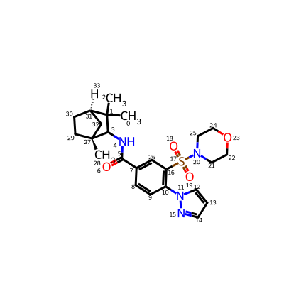 CC1(C)C(NC(=O)c2ccc(-n3cccn3)c(S(=O)(=O)N3CCOCC3)c2)[C@]2(C)CC[C@@H]1C2